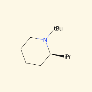 CC(C)[C@H]1CCCCN1C(C)(C)C